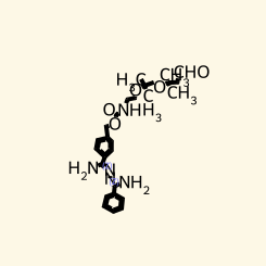 CC(C)(CC=O)OCC(C)(C)OCCNC(=O)OCc1ccc(/C(N)=N/N=C(\N)c2ccccc2)cc1